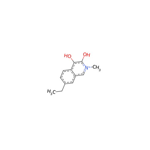 CCc1ccc2c(O)c(O)[n+](C)cc2c1